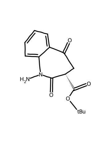 CC(C)(C)OC(=O)[C@H]1CC(=O)c2ccccc2N(N)C1=O